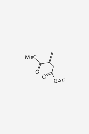 C=C(CC(=O)OC(C)=O)C(=O)OC